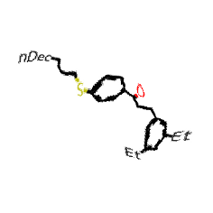 CCCCCCCCCCCCCSc1ccc(C(=O)C=Cc2cc(CC)cc(CC)c2)cc1